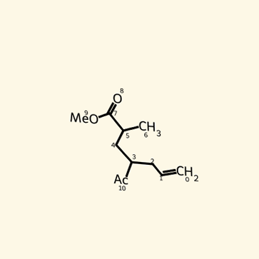 C=CCC(CC(C)C(=O)OC)C(C)=O